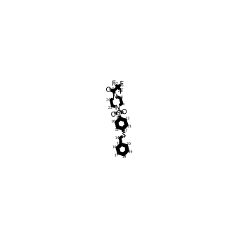 O=C(N1CCN(S(=O)(=O)c2ccc(SCc3ccccc3)cc2)CC1)C(F)(F)F